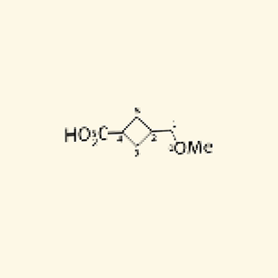 COCC1CC(C(=O)O)C1